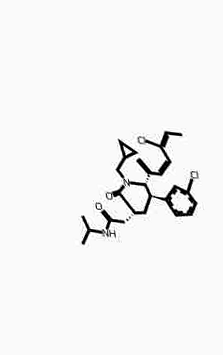 C=C(/C=C\C(Cl)=C/C)[C@@H]1[C@@H](c2cccc(Cl)c2)C[C@H](CC(=O)NC(C)C)C(=O)N1CC1CC1